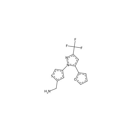 NCc1cc(-n2nc(C(F)(F)F)cc2-c2ccco2)cs1